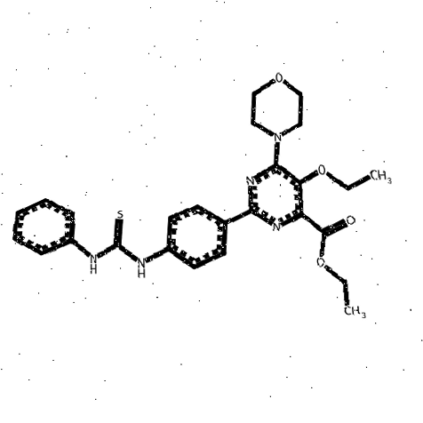 CCOC(=O)c1nc(-c2ccc(NC(=S)Nc3ccccc3)cc2)nc(N2CCOCC2)c1OCC